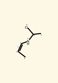 C/C=C\NC(C)Cl